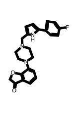 O=C1COc2c1cccc2N1CCN(Cc2ccc(-c3ccc(F)cc3)[nH]2)CC1